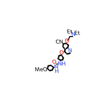 [C-]#[N+]c1cc2c(Oc3ccc(NC(=O)Nc4ccc(OC)cc4)cc3)ccnc2cc1OCCCN(CC)CC